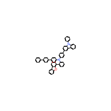 c1ccc(-c2ccc(-c3ccc(N(c4ccc(-c5ccc6c(c5)c5ccccc5n6-c5ccccc5)cc4)c4ccccc4-c4cccc5c4oc4ccccc45)cc3)cc2)cc1